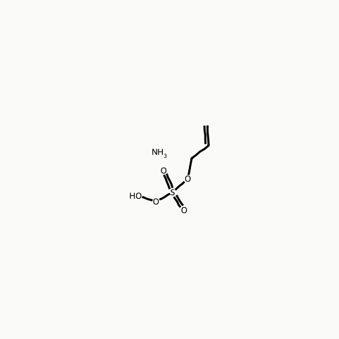 C=CCOS(=O)(=O)OO.N